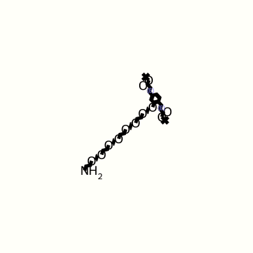 CC(C)(C)OC(=O)/C=C/c1ccc(/C=C/C(=O)OC(C)(C)C)c(OCCOCCOCCOCCOCCOCCOCCOCCN)c1